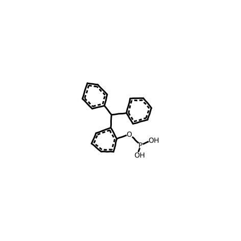 OP(O)Oc1ccccc1C(c1ccccc1)c1ccccc1